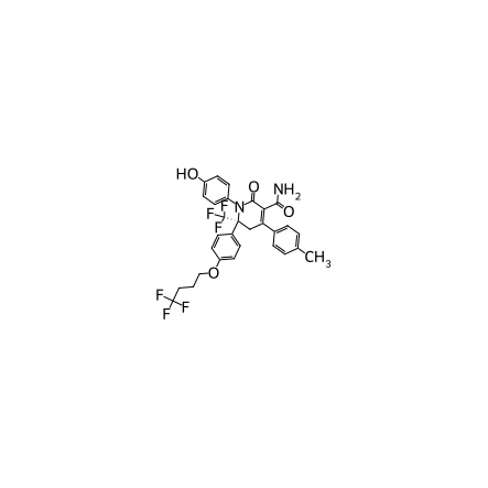 Cc1ccc(C2=C(C(N)=O)C(=O)N(c3ccc(O)cc3)[C@@](c3ccc(OCCCC(F)(F)F)cc3)(C(F)(F)F)C2)cc1